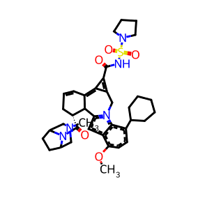 COc1ccc(C2CCCCC2)c2c1cc1n2CC2=C(C(=O)NS(=O)(=O)N3CCCC3)C2=C2C=CC[C@@H](C(=O)N3C4CCC3CN(C)C4)C21